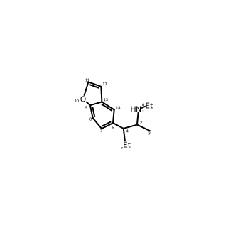 CCNC(C)C(CC)c1ccc2occc2c1